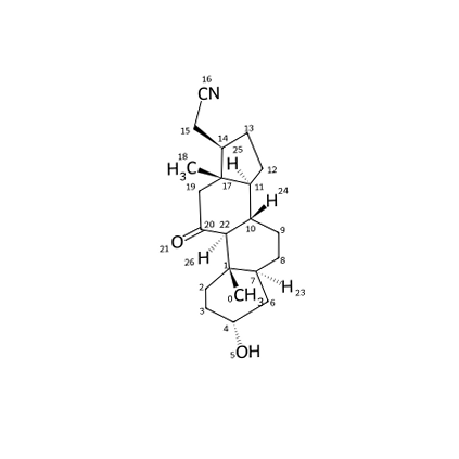 C[C@]12CC[C@@H](O)C[C@@H]1CC[C@H]1[C@@H]3CC[C@H](CC#N)[C@@]3(C)CC(=O)[C@@H]12